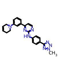 Cn1nnc(-c2ccc(Nc3nccc(-c4cccc(N5CC=CCC5)c4)n3)cc2)n1